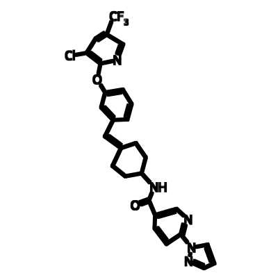 O=C(NC1CCC(=Cc2cccc(Oc3ncc(C(F)(F)F)cc3Cl)c2)CC1)c1ccc(-n2cccn2)nc1